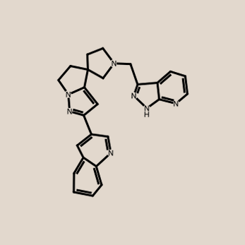 c1ccc2ncc(-c3cc4n(n3)CCC43CCN(Cc4n[nH]c5ncccc45)C3)cc2c1